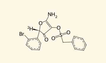 [2H][C@@]1(c2ccccc2Br)OC(N)=C(OS(=O)(=O)Cc2ccccc2)C1=O